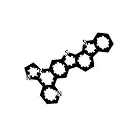 c1ccc2c(c1)sc1c2ccc2c3cc4c5ncccc5c5nccn5c4cc3sc21